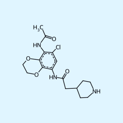 CC(=O)Nc1c(Cl)cc(NC(=O)CC2CCNCC2)c2c1OCCO2